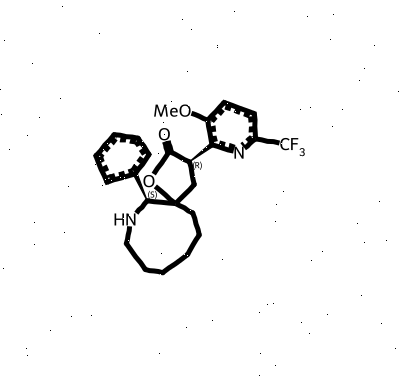 COc1ccc(C(F)(F)F)nc1[C@H]1CC2(CCCCCCN[C@H]2c2ccccc2)OC1=O